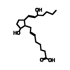 CCCCC(O)C=CC1CCC(O)C1CC=CCCCCC(=O)O